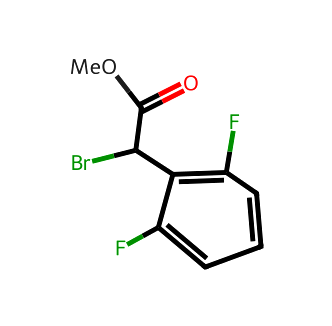 COC(=O)C(Br)c1c(F)cccc1F